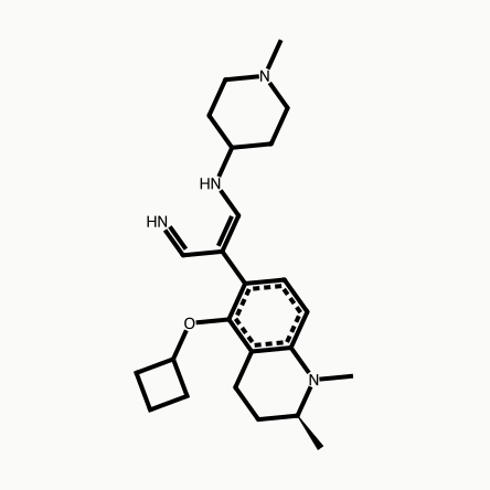 C[C@H]1CCc2c(ccc(/C(C=N)=C/NC3CCN(C)CC3)c2OC2CCC2)N1C